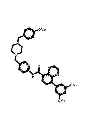 COc1ccc(CN2CCN(Cc3ccc(NC(=O)c4ccc(-c5cc(OC)cc(OC)c5)c5nccnc45)nc3)CC2)cc1